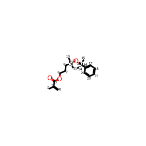 C=C(C)C(=O)OCCC[Si](C)(C)O[Si](C)(C)c1ccccc1